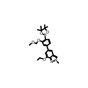 CCOc1cc(-c2ccc(B3OC(C)(C)C(C)(C)O3)c(OCOC)c2)cc2cn(C)nc12